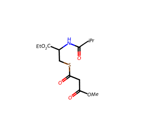 CCOC(=O)C(CSC(=O)CC(=O)OC)NC(=O)C(C)C